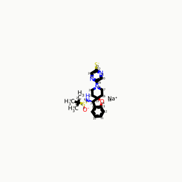 CC(C)(C)[S@@+]([O-])N[C@@H]1c2ccccc2OC12CCN(c1cnc([S-])cn1)CC2.[Na+]